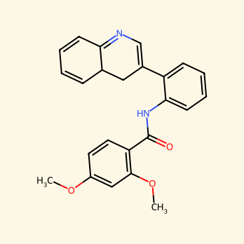 COc1ccc(C(=O)Nc2ccccc2C2=CN=C3C=CC=CC3C2)c(OC)c1